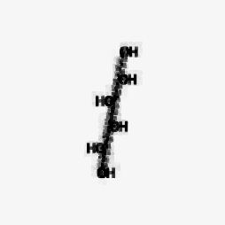 OCCCCCCCC(O)CCCCCCC(O)CCCCCCC(O)CCCCCCC(O)CCCCCCO